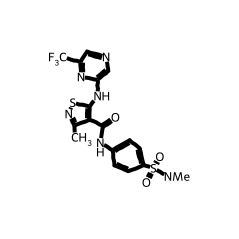 CNS(=O)(=O)c1ccc(NC(=O)c2c(C)nsc2Nc2cncc(C(F)(F)F)n2)cc1